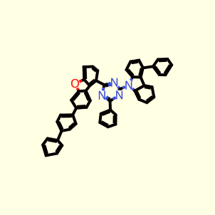 c1ccc(-c2ccc(-c3ccc4c(c3)oc3cccc(-c5nc(-c6ccccc6)nc(-n6c7ccccc7c7c(-c8ccccc8)cccc76)n5)c34)cc2)cc1